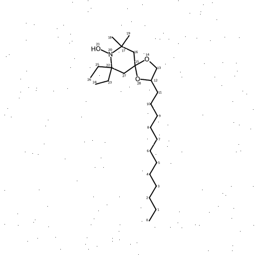 CCCCCCCCCCCCC1COC2(CC(C)(C)N(O)C(CC)(CC)C2)O1